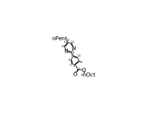 CCCCCCCCOC(=O)c1ccc(-c2ncc(CCCCC)cn2)cc1